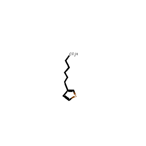 O=C(O)CCCCCc1ccsc1